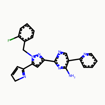 Nc1nc(-c2cc(C3=NCC=C3)n(Cc3ccccc3F)n2)ncc1-c1ccccn1